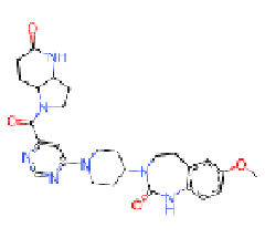 COc1ccc2c(c1)CCN(C1CCN(c3cc(C(=O)N4CCC5NC(=O)CCC54)ncn3)CC1)C(=O)N2